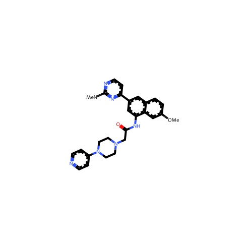 CNc1nccc(-c2cc(NC(=O)CN3CCN(c4ccncc4)CC3)c3cc(OC)ccc3c2)n1